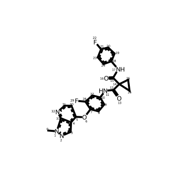 Cn1ncc2c(Oc3ccc(NC(=O)C4(C(=O)Nc5ccc(F)cc5)CC4)cc3F)ccnc21